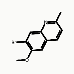 COc1cc2ccc(C)nc2cc1Br